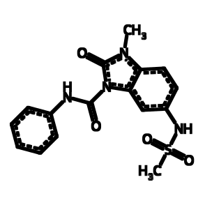 Cn1c(=O)n(C(=O)Nc2ccccc2)c2cc(NS(C)(=O)=O)ccc21